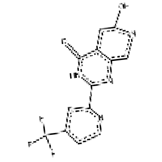 O=c1[nH]c(-c2cc(C(F)(F)F)ccn2)nc2cnc(O)cc12